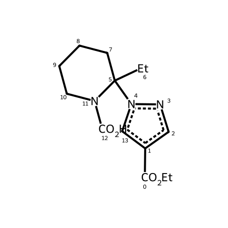 CCOC(=O)c1cnn(C2(CC)CCCCN2C(=O)O)c1